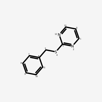 [c]1cnc(SCc2ccccc2)nc1